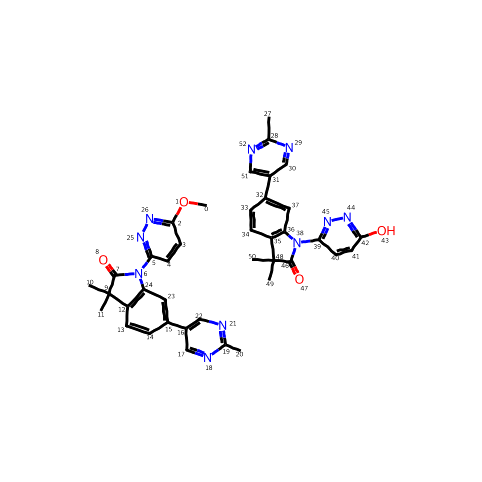 COc1ccc(N2C(=O)C(C)(C)c3ccc(-c4cnc(C)nc4)cc32)nn1.Cc1ncc(-c2ccc3c(c2)N(c2ccc(O)nn2)C(=O)C3(C)C)cn1